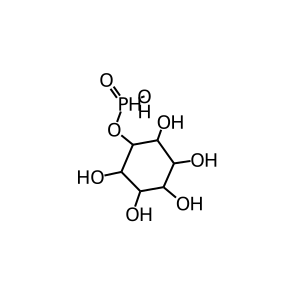 O=[PH](O)OC1C(O)C(O)C(O)C(O)C1O